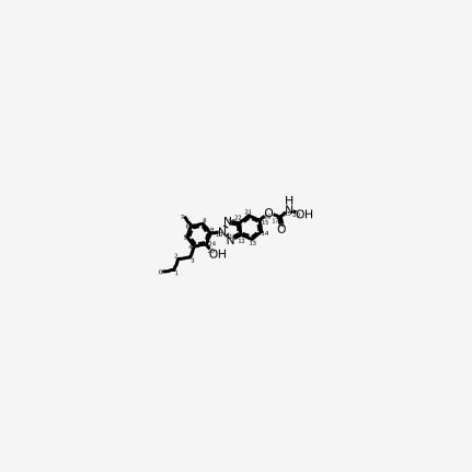 CCCCc1cc(C)cc(-n2nc3ccc(OC(=O)NO)cc3n2)c1O